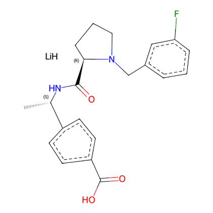 C[C@H](NC(=O)[C@H]1CCCN1Cc1cccc(F)c1)c1ccc(C(=O)O)cc1.[LiH]